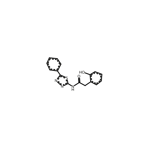 O=C(Cc1ccccc1O)Nc1nnc(-c2ccccc2)s1